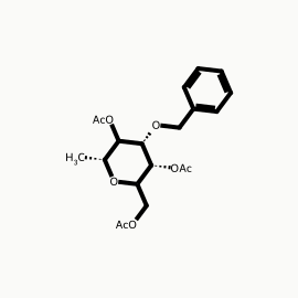 CC(=O)OCC1O[C@H](C)C(OC(C)=O)[C@H](OCc2ccccc2)[C@@H]1OC(C)=O